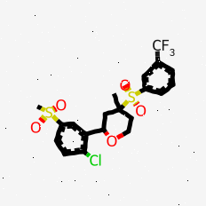 CC1(S(=O)(=O)c2cccc(C(F)(F)F)c2)CCOC(c2cc(S(C)(=O)=O)ccc2Cl)C1